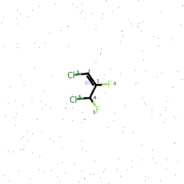 F/C(=C/Cl)C(F)Cl